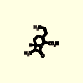 C/C=C\C1=C(C(=O)O)N2C(=O)C(N)[C@@H]2SC1